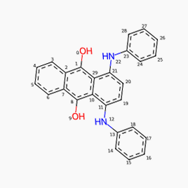 Oc1c2ccccc2c(O)c2c(Nc3ccccc3)ccc(Nc3ccccc3)c12